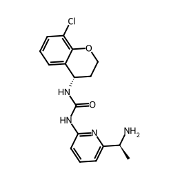 C[C@H](N)c1cccc(NC(=O)N[C@H]2CCOc3c(Cl)cccc32)n1